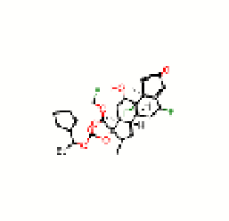 CCC(OC(=O)O[C@@]1(C(=O)OCF)[C@H](C)C[C@H]2[C@@H]3C[C@H](F)C4=CC(=O)C=C[C@]4(C)C3(F)[C@@H](O)C[C@@]21C)C1CCCC1